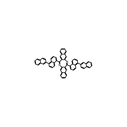 c1ccc2cc(-c3cccc4c(/C5=N/c6cc7ccccc7cc6/C(c6cccc7c(-c8ccc9ccccc9c8)cccc67)=N\c6cc7ccccc7cc65)cccc34)ccc2c1